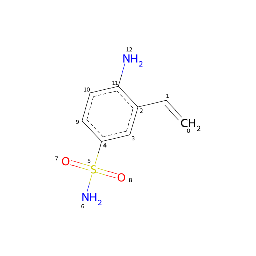 C=Cc1cc(S(N)(=O)=O)ccc1N